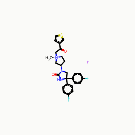 C[N@+]1(CC(=O)c2ccsc2)CC[C@@H](N2CC(c3ccc(F)cc3)(c3ccc(F)cc3)NC2=O)C1.[I-]